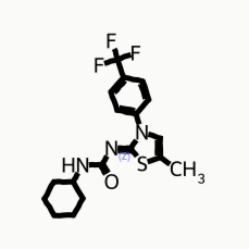 Cc1cn(-c2ccc(C(F)(F)F)cc2)/c(=N/C(=O)NC2CCCCC2)s1